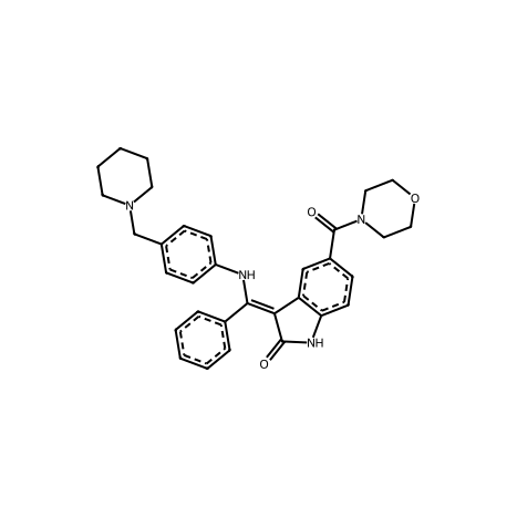 O=C1Nc2ccc(C(=O)N3CCOCC3)cc2C1=C(Nc1ccc(CN2CCCCC2)cc1)c1ccccc1